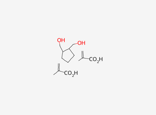 C=C(C)C(=O)O.C=C(C)C(=O)O.OCC1CCCC1CO